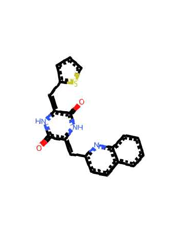 O=c1[nH]c(=Cc2cccs2)c(=O)[nH]c1=Cc1ccc2ccccc2n1